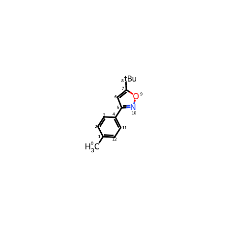 Cc1ccc(-c2cc(C(C)(C)C)on2)cc1